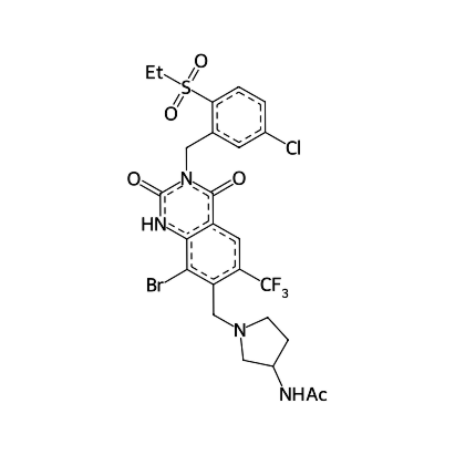 CCS(=O)(=O)c1ccc(Cl)cc1Cn1c(=O)[nH]c2c(Br)c(CN3CCC(NC(C)=O)C3)c(C(F)(F)F)cc2c1=O